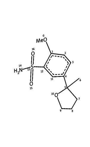 COc1ccc(C2(C)CCCO2)cc1S(N)(=O)=O